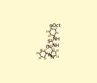 CCCCCCCCc1ccc(NC(=S)NC(=O)c2ccnn2-c2ccccc2)cc1